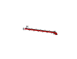 CC/C(C)=C/NCCOCCOCCOCCOCCOCCOCCOCCOCCOCCOCCOCCOS(=O)(=O)c1ccc(C)cc1